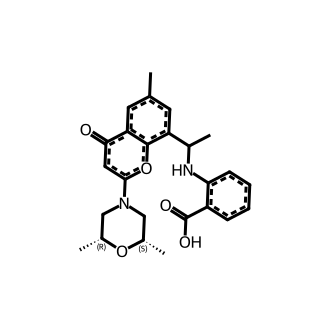 Cc1cc(C(C)Nc2ccccc2C(=O)O)c2oc(N3C[C@@H](C)O[C@@H](C)C3)cc(=O)c2c1